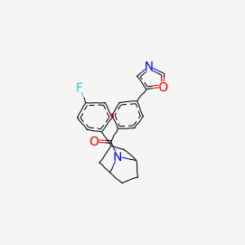 O=C(c1ccc(-c2cnco2)cc1)N1C2CCC1CC(c1ccc(F)cc1)C2